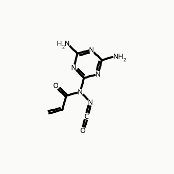 C=CC(=O)N(N=C=O)c1nc(N)nc(N)n1